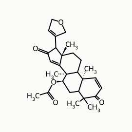 CC(=O)O[C@@H]1CC2C(C)(C)C(=O)C=C[C@]2(C)C2CC[C@]3(C)C(=CC(=O)C3C3=CCOC3)[C@@]21C